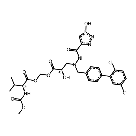 COC(=O)N[C@H](C(=O)OCOC(=O)[C@H](O)CN(Cc1ccc(-c2cc(Cl)ccc2Cl)cc1)NC(=O)c1cn(O)nn1)C(C)C